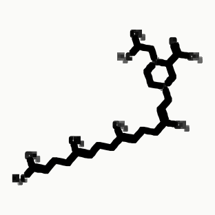 CC(=O)C1CN(C/C=C(\C)CC/C=C(\C)CC/C=C(\C)CCC=C(C)C)CCN1CC(C)C